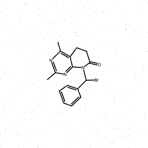 Cc1nc(C)c2c(n1)N(C(Br)c1ccccc1)C(=O)CC2